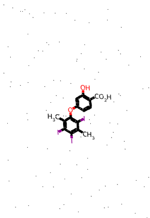 Cc1c(I)c(I)c(C)c(Oc2ccc(C(=O)O)c(O)c2)c1I